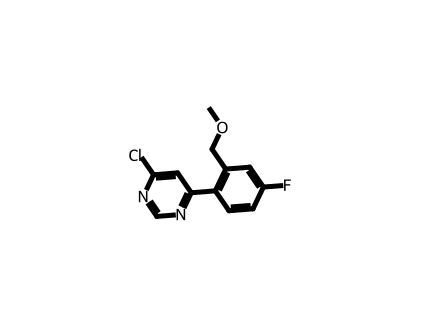 COCc1cc(F)ccc1-c1cc(Cl)ncn1